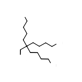 [CH2]CC(CCCCC)(CCCCC)CCCCC